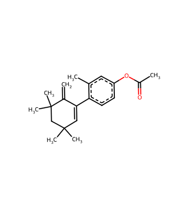 C=C1C(c2ccc(OC(C)=O)cc2C)=CC(C)(C)CC1(C)C